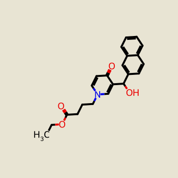 CCOC(=O)CCCn1ccc(=O)c(C(O)c2ccc3ccccc3c2)c1